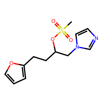 CS(=O)(=O)OC(CCc1ccco1)Cn1ccnc1